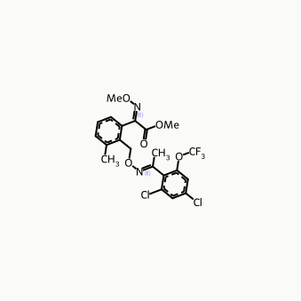 CO/N=C(/C(=O)OC)c1cccc(C)c1CO/N=C(\C)c1c(Cl)cc(Cl)cc1OC(F)(F)F